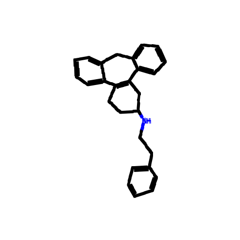 c1ccc(CCNC2CCC3=C(C2)c2ccccc2Cc2ccccc23)cc1